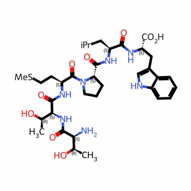 CSCC[C@H](NC(=O)[C@@H](NC(=O)[C@@H](N)[C@@H](C)O)[C@@H](C)O)C(=O)N1CCC[C@H]1C(=O)N[C@@H](CC(C)C)C(=O)N[C@@H](Cc1c[nH]c2ccccc12)C(=O)O